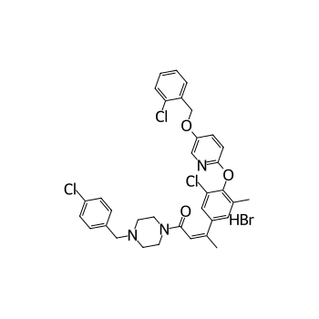 Br.CC(=CC(=O)N1CCN(Cc2ccc(Cl)cc2)CC1)c1cc(C)c(Oc2ccc(OCc3ccccc3Cl)cn2)c(Cl)c1